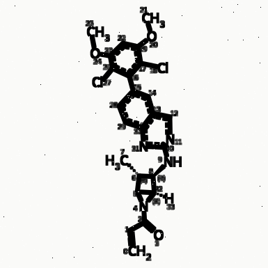 C=CC(=O)N1C2[C@H](C)[C@@H](Nc3ncc4cc(-c5c(Cl)c(OC)cc(OC)c5Cl)ccc4n3)[C@H]21